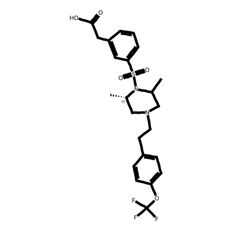 CC1CN(CCc2ccc(OC(F)(F)F)cc2)C[C@H](C)N1S(=O)(=O)c1cccc(CC(=O)O)c1